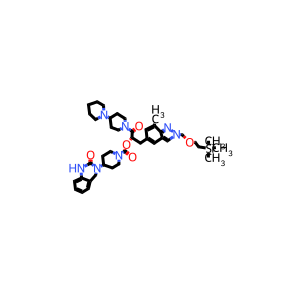 Cc1cc(CC(OC(=O)N2CCC(N3Cc4ccccc4NC3=O)CC2)C(=O)N2CCC(N3CCCCC3)CC2)cc2cn(COCC[Si](C)(C)C)nc12